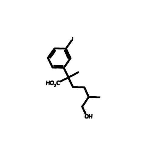 CC(CO)CCC(C)(C(=O)O)c1cccc(I)c1